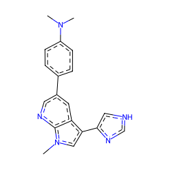 CN(C)c1ccc(-c2cnc3c(c2)c(-c2c[nH]cn2)cn3C)cc1